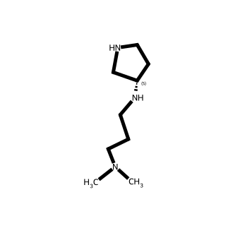 CN(C)CCCN[C@H]1CCNC1